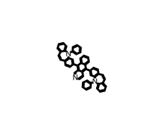 C1=Cc2ccc(-c3c4ccccc4c(-c4ccc5c(c4)N(c4ccccc4)c4ccccc4C=C5)c4cnccc34)cc2N(c2ccccc2)c2ccccc21